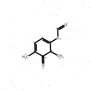 CC1=CC=C(OC=O)C(C)C1=O